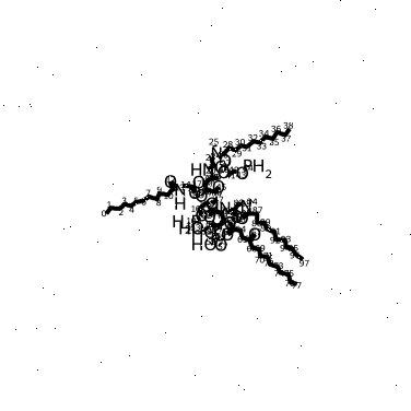 CCCCCCCCCCCC(=O)NCC(=O)O[C@@H]1[C@H](NC(=O)CN(C)C(=O)CCCCCCCCCCC)[C@@H](OCCOP)O[C@H](CO[C@@H]2O[C@H](CO)[C@@H](OP(=O)(O)O)[C@H](OC(=O)CCC(=O)CCCCCCCCCC)[C@@H]2NC(=O)CN(C)C(=O)CCCCCCCCCCC)[C@H]1OCCOP